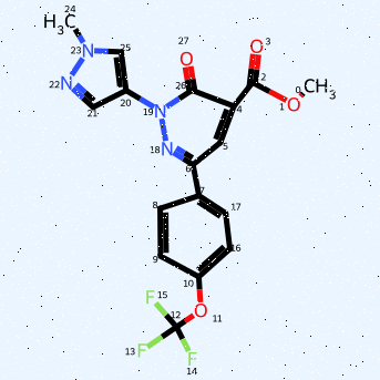 COC(=O)c1cc(-c2ccc(OC(F)(F)F)cc2)nn(-c2cnn(C)c2)c1=O